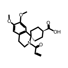 C=CC(=O)N1CCc2cc(OC)c(OC)cc2[C@]12CC[C@H](C(=O)O)CC2